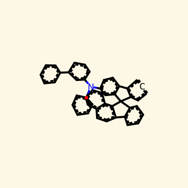 c1ccc(-c2cccc(N(c3ccccc3)c3ccc4c(c3)C3(c5ccccc5-4)c4ccccc4-c4ccc5ccccc5c43)c2)cc1